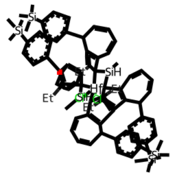 CCC1=CC2=C(C=CC=CC2c2ccc([Si](C)(C)C)cc2)[C]12[SiH](C)[C]1(C(CC)=CC3=C1C=CC=CC3c1ccc([Si](C)(C)C)cc1)[Hf]21([Cl])([Cl])[C]2(C(CC)=CC3=C2C=CC=CC3c2ccc([Si](C)(C)C)cc2)[SiH](C)[C]12C(CC)=CC1=C2C=CC=CC1c1ccc([Si](C)(C)C)cc1